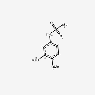 CCCCS(=O)(=O)Nc1ccc(OC)c(OC)c1